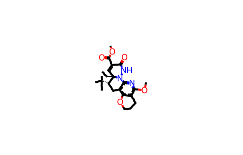 CC[C@@]12C=C(C(=O)OC)C(=O)NN1c1nc(OC)c3c(c1C[C@@H]2C(C)(C)C)OCCC3